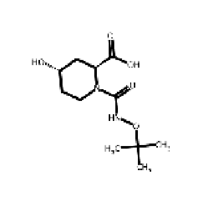 CC(C)(C)ONC(=O)N1CC[C@H](O)C[C@H]1C(=O)O